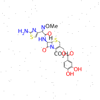 CO/N=C(\C(=O)N[C@@H]1C(=O)N2C(C(=O)O)=C(COC(=O)c3ccc(O)c(O)c3)CS[C@H]12)c1csc(N)n1